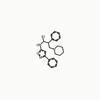 CCC(Nc1cc(-c2ccccc2)no1)C(CN1CCCCC1)c1ccccc1